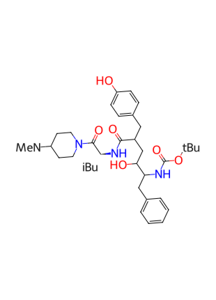 CC[C@H](C)[C@H](NC(=O)C(Cc1ccc(O)cc1)CC(O)C(Cc1ccccc1)NC(=O)OC(C)(C)C)C(=O)N1CCC(NC)CC1